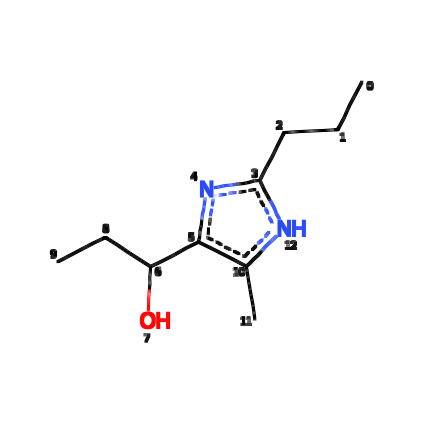 CCCc1nc(C(O)CC)c(C)[nH]1